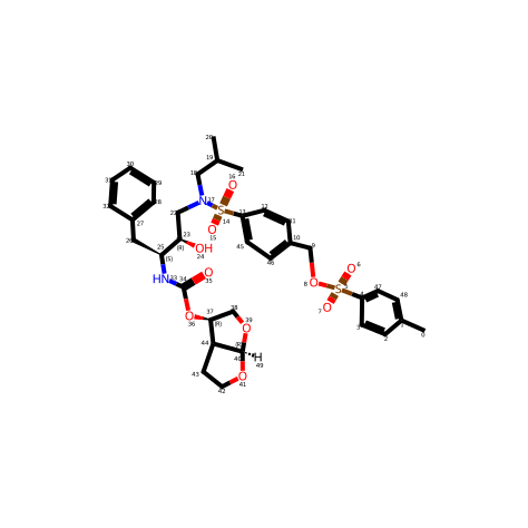 Cc1ccc(S(=O)(=O)OCc2ccc(S(=O)(=O)N(CC(C)C)C[C@@H](O)[C@H](Cc3ccccc3)NC(=O)O[C@H]3CO[C@H]4OCCC43)cc2)cc1